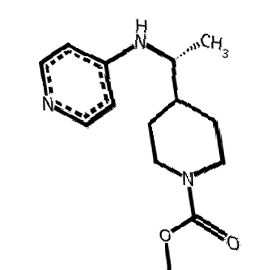 C[C@@H](Nc1ccncc1)C1CCN(C(=O)OC(C)(C)C)CC1